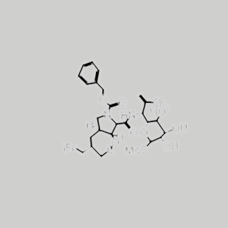 C=C([C@@H](NC(=O)C1[C@@H]2OCC[C@@H](CC(C)C)C[C@H]2CN1C(=O)OCc1ccccc1)[C@H]1OC(SC)[C@H](O)[C@H](O)C1O)C(F)(F)F